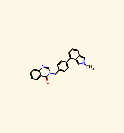 Cn1cc2cccc(-c3ccc(Cn4cnc5ccccc5c4=O)cc3)c2c1